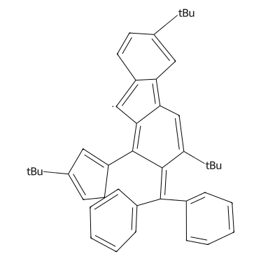 CC(C)(C)C1=CCC(c2c3c(cc(C(C)(C)C)c2=C(c2ccccc2)c2ccccc2)=c2cc(C(C)(C)C)ccc2=[C]3)=C1